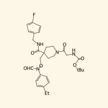 CCc1ccc(N(C=O)OCC2(C(=O)NCc3ccc(F)cc3)CCN(C(=O)CNC(=O)OC(C)(C)C)CC2)cc1